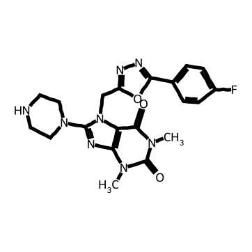 Cn1c(=O)c2c(nc(N3CCNCC3)n2Cc2nnc(-c3ccc(F)cc3)o2)n(C)c1=O